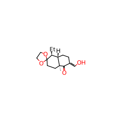 CC[C@H]1[C@@H]2CC/C(=C\O)C(=O)[C@@]2(C)CCC12OCCO2